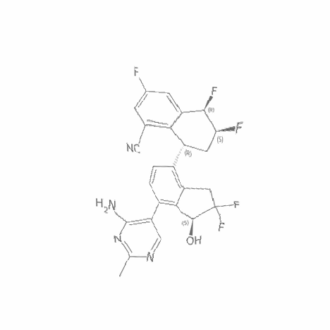 Cc1ncc(-c2ccc([C@H]3C[C@H](F)[C@H](F)c4cc(F)cc(C#N)c43)c3c2[C@H](O)C(F)(F)C3)c(N)n1